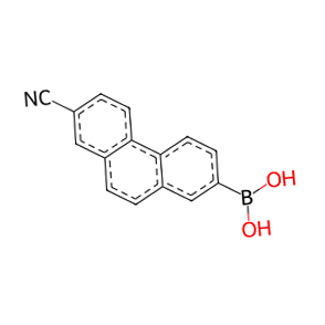 N#Cc1ccc2c(ccc3cc(B(O)O)ccc32)c1